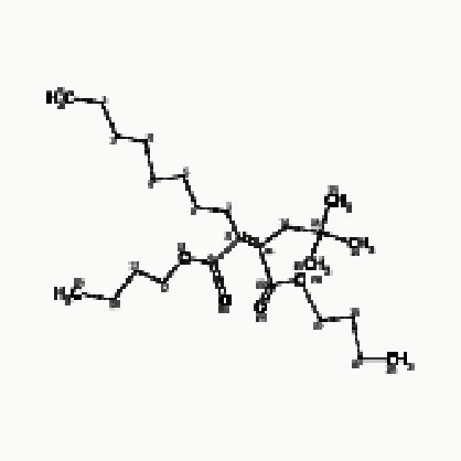 CCCCCCCC/C(C(=O)OCCCC)=C(\CC(C)(C)C)C(=O)OCCCC